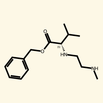 CNCCN[C@H](C(=O)OCc1ccccc1)C(C)C